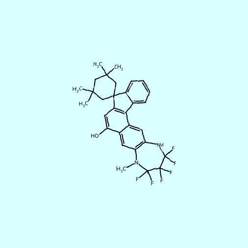 CN1c2cc3c(O)cc4c(c3cc2NC(F)(F)C(F)(F)C1(F)F)-c1ccccc1C41CC(C)(C)CC(C)(C)C1